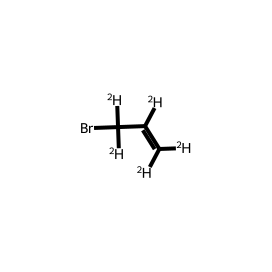 [2H]C([2H])=C([2H])C([2H])([2H])Br